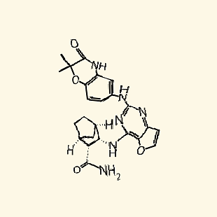 CC1(C)Oc2ccc(Nc3nc(N[C@H]4[C@@H]5CC[C@@H](C5)[C@H]4C(N)=O)c4occc4n3)cc2NC1=O